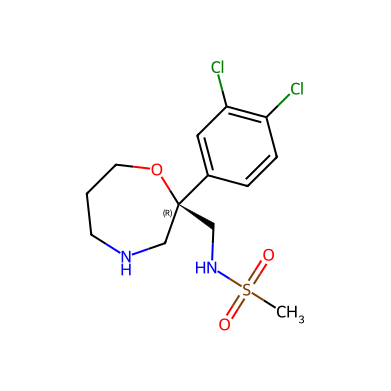 CS(=O)(=O)NC[C@@]1(c2ccc(Cl)c(Cl)c2)CNCCCO1